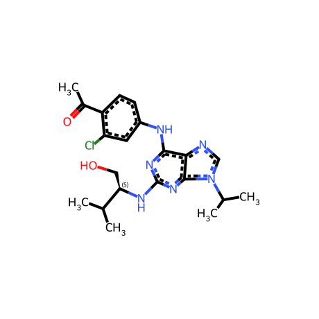 CC(=O)c1ccc(Nc2nc(N[C@H](CO)C(C)C)nc3c2ncn3C(C)C)cc1Cl